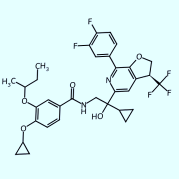 CCC(C)Oc1cc(C(=O)NCC(O)(c2cc3c(c(-c4ccc(F)c(F)c4)n2)OC[C@H]3C(F)(F)F)C2CC2)ccc1OC1CC1